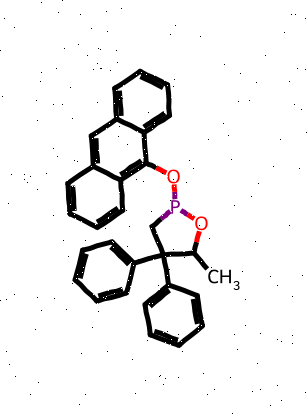 CC1OP(Oc2c3ccccc3cc3ccccc23)CC1(c1ccccc1)c1ccccc1